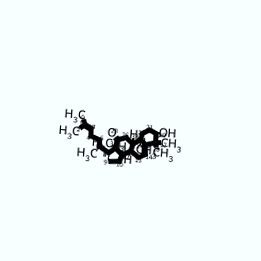 CC(C)=CCC[C@@H](C)[C@H]1CC[C@H]2[C@@H]3CC=C4C(C)(C)[C@@H](O)CC[C@]4(C)[C@H]3CC(=O)[C@]12C